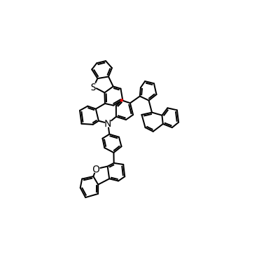 c1ccc(-c2cccc3ccccc23)c(-c2ccc(N(c3ccc(-c4cccc5c4oc4ccccc45)cc3)c3ccccc3-c3cccc4c3sc3ccccc34)cc2)c1